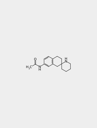 CC(=O)Nc1ccc2c(c1)CC1(CCCCN1)CC2